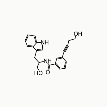 O=C(N[C@@H](CO)Cc1c[nH]c2ccccc12)c1cccc(C#CCCO)c1